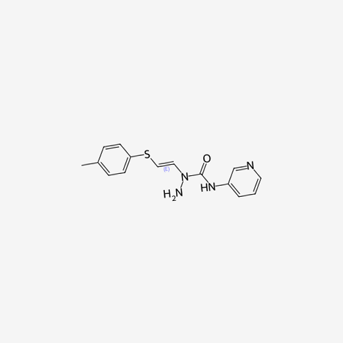 Cc1ccc(S/C=C/N(N)C(=O)Nc2cccnc2)cc1